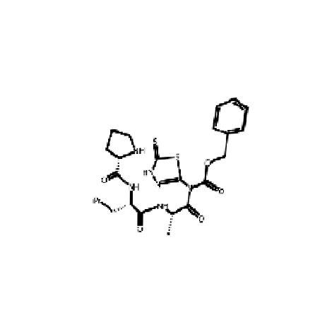 CC(C)C[C@H](NC(=O)[C@@H]1CCCN1)C(=O)N[C@@H](C)C(=O)N(C(=O)OCc1ccccc1)c1n[nH]c(=S)s1